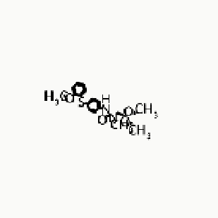 CCOC(CN(C)C(=O)Nc1ccc(Sc2ccccc2OC)cc1)OCC